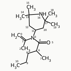 C=C(C)N(C(=O)C(C)CCC)C1CC(C)(C)NC(C)(C)C1